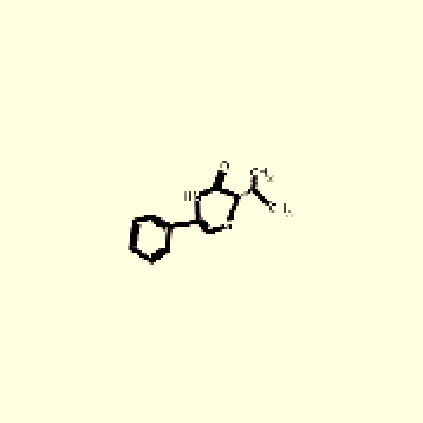 CC(C)[C@@H]1SC=C(c2ccccc2)NC1=O